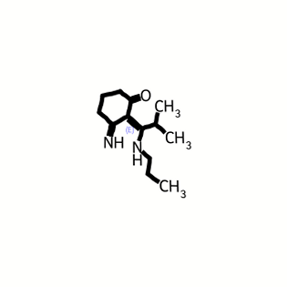 CCCN/C(=C1\C(=N)CCCC1=O)C(C)C